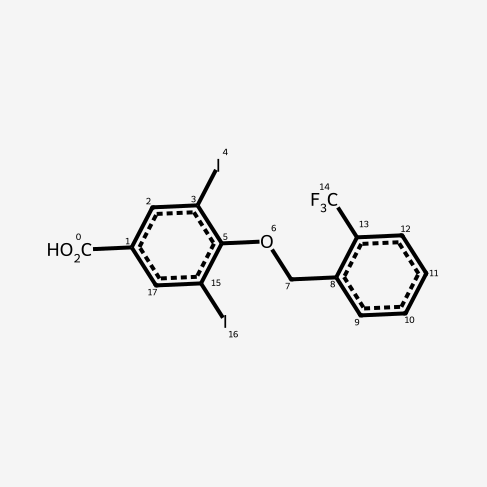 O=C(O)c1cc(I)c(OCc2ccccc2C(F)(F)F)c(I)c1